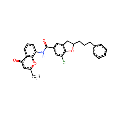 O=C(Nc1cccc2c(=O)cc(C(=O)O)oc12)c1cc(Cl)c2c(c1)CC(CCCc1ccccc1)O2